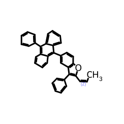 C/C=C\c1oc2ccc(-c3c4ccccc4c(-c4ccccc4)c4ccccc34)cc2c1-c1ccccc1